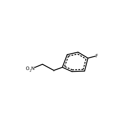 O=[N+]([O-])C[CH]c1ccc(F)cc1